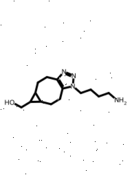 NCCCCn1nnc2c1CCC1C(CO)C1CC2